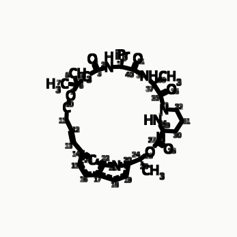 CC(C)[C@@H]1NC(=O)CC(C)(C)OCC/C=C/c2ccc3ccc(nc3c2)[C@@H](C)OC(=O)[C@@H]2CCCN(N2)C(=O)[C@H](C)NC1=O